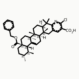 C[C@H]1[C@H](C)CC[C@]2(C(=O)OCc3ccccc3)CC[C@]3(C)C(=CC[C@@H]4[C@@]5(C)Cc6cc(C(=O)O)c(Cl)nc6C(C)(C)[C@@H]5CC[C@]43C)[C@H]12